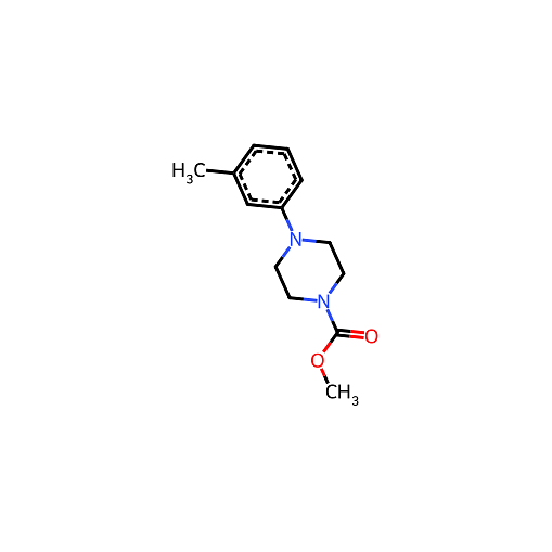 COC(=O)N1CCN(c2cccc(C)c2)CC1